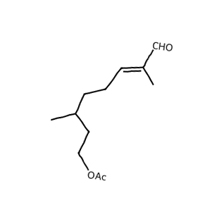 CC(=O)OCCC(C)CC/C=C(\C)C=O